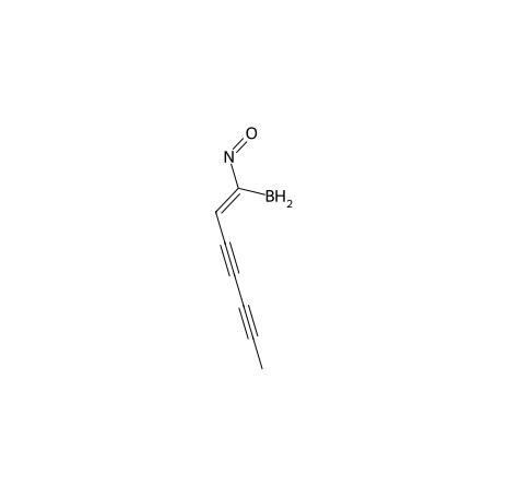 B/C(=C\C#CC#CC)N=O